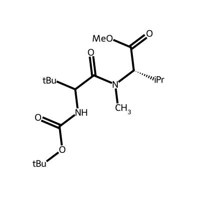 COC(=O)[C@H](C(C)C)N(C)C(=O)C(NC(=O)OC(C)(C)C)C(C)(C)C